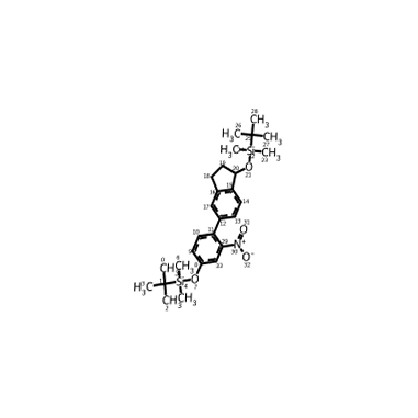 CC(C)(C)[Si](C)(C)Oc1ccc(-c2ccc3c(c2)CCC3O[Si](C)(C)C(C)(C)C)c([N+](=O)[O-])c1